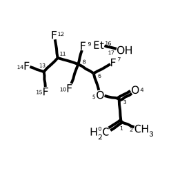 C=C(C)C(=O)OC(F)C(F)(F)C(F)C(F)F.CCO